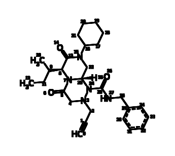 C#CCN1CC(=O)N2[C@@H](C(C)CC)C(=O)N(C3CCCCC3)C[C@@H]2N1C(=O)NCc1ccccc1